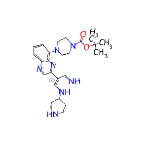 CC(C)(C)OC(=O)N1CCN(c2cccc3ncc(/C(C=N)=C/NC4CCNCC4)nc23)CC1